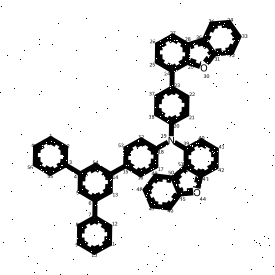 c1ccc(-c2cc(-c3ccccc3)cc(-c3ccc(N(c4ccc(-c5cccc6c5oc5ccccc56)cc4)c4cccc5oc6ccccc6c45)cc3)c2)cc1